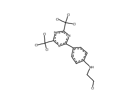 ClCCNc1ccc(-c2nc(C(Cl)(Cl)Cl)nc(C(Cl)(Cl)Cl)n2)cc1